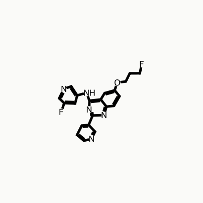 FCCCOc1ccc2nc(-c3cccnc3)nc(Nc3cncc(F)c3)c2c1